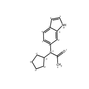 CC(=O)N(c1ccc2cc[nH]c2c1)C1CCCC1